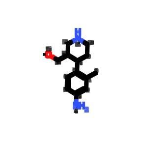 Cc1cc(N)ccc1C1CCNCC1C[O]